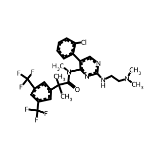 CN(C)CCNc1ncc(-c2ccccc2Cl)c(N(C)C(=O)C(C)(C)c2cc(C(F)(F)F)cc(C(F)(F)F)c2)n1